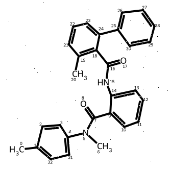 Cc1ccc(N(C)C(=O)c2ccccc2NC(=O)c2c(C)cccc2-c2ccccc2)cc1